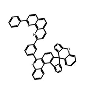 c1ccc(-c2ccc3ccc4ccc(-c5cccc(-c6nc7ccccc7c7c8c(ccc67)C6(c7ccccc7Oc7ccccc76)c6ccccc6-8)c5)nc4c3n2)cc1